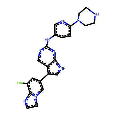 Fc1cc(-c2c[nH]c3nc(Nc4ccc(N5CCNCC5)nc4)ncc23)cn2ccnc12